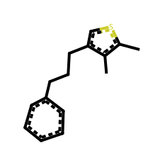 Cc1scc(CCCc2ccccc2)c1C